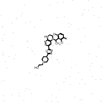 CC(c1c(Cl)ccc(F)c1Cl)N1CCNc2nnc(-c3nnc(C4CCN(CCO)CC4)o3)cc21